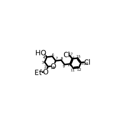 CCOC1CC(O)CC(CCc2ccc(Cl)cc2Cl)O1